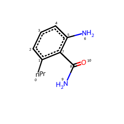 CCCc1cccc(N)c1C(N)=O